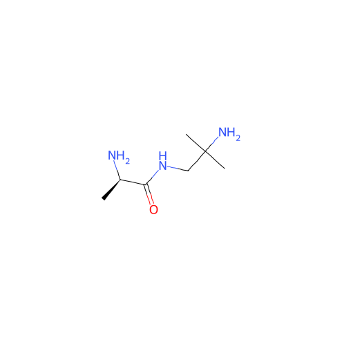 C[C@@H](N)C(=O)NCC(C)(C)N